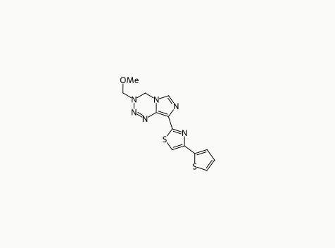 COCN1Cn2cnc(-c3nc(-c4cccs4)cs3)c2N=N1